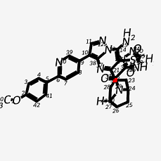 COc1ccc(-c2ccc(-c3cnn4c(N)c(S(C)(=O)=O)c(C5CC6CC[C@H](C5)N6C(=O)c5nnc[nH]5)nc34)cn2)cc1